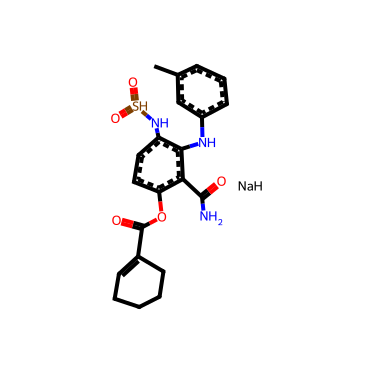 Cc1cccc(Nc2c(N[SH](=O)=O)ccc(OC(=O)C3=CCCCC3)c2C(N)=O)c1.[NaH]